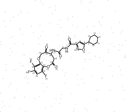 O=C(CNC(=O)c1cc(C2CCCCC2)on1)NC1CC(=O)Oc2c(F)cc(F)c(F)c2OCC1=O